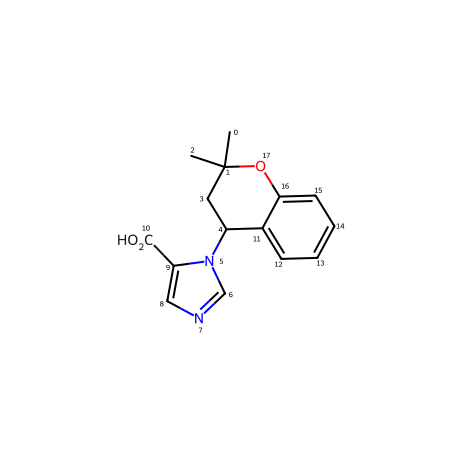 CC1(C)CC(n2cncc2C(=O)O)c2ccccc2O1